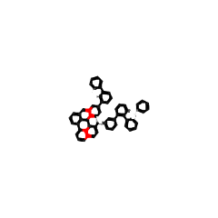 c1ccc(-c2cccc3cccc(-c4ccccc4N(c4cccc(-c5cccc6c5sc5ccccc56)c4)c4cccc(-c5cccc6c5c5ccccc5n6-c5ccccc5)c4)c23)cc1